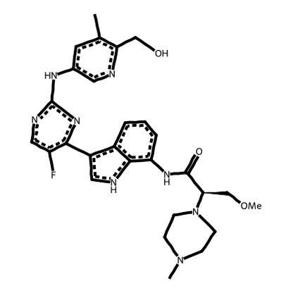 COC[C@H](C(=O)Nc1cccc2c(-c3nc(Nc4cnc(CO)c(C)c4)ncc3F)c[nH]c12)N1CCN(C)CC1